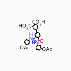 CC(=O)Oc1cccc(NC(=O)c2ccc(-c3ccc(C(=O)O)c(C(=O)O)c3)cc2C(=O)Nc2cccc(OC(C)=O)c2)c1